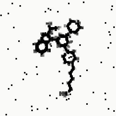 CCCCCCN1CCN(c2nc(N3CCOCC3)nc(-n3c(C(F)F)nc4ccccc43)n2)CC1